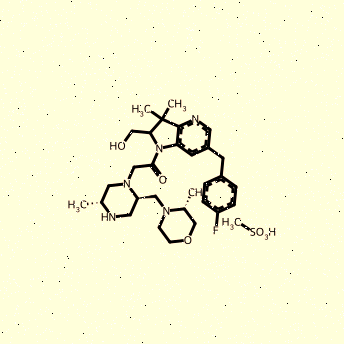 CS(=O)(=O)O.C[C@@H]1CN(CC(=O)N2c3cc(Cc4ccc(F)cc4)cnc3C(C)(C)C2CO)[C@@H](CN2CCOC[C@H]2C)CN1